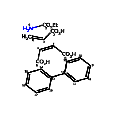 C=CC(=O)O.CCOC(N)=O.O=C(O)/C=C\C(=O)O.c1ccc(-c2ccccc2)cc1